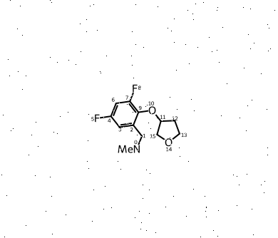 CNCc1cc(F)cc(F)c1OC1CCOC1